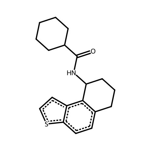 O=C(NC1CCCc2ccc3sccc3c21)C1CCCCC1